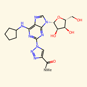 CNC(=O)c1cn(-c2nc(NC3CCCC3)c3ncn([C@@H]4O[C@H](CO)[C@@H](O)[C@H]4O)c3n2)nn1